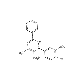 CCOC(=O)C1=C(C)N=C(c2ccccc2)NC1c1ccc(Cl)c([N+](=O)[O-])c1